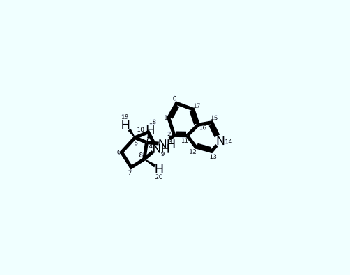 c1cc(N[C@@H]2[C@@H]3CC[C@H]2NC3)c2ccncc2c1